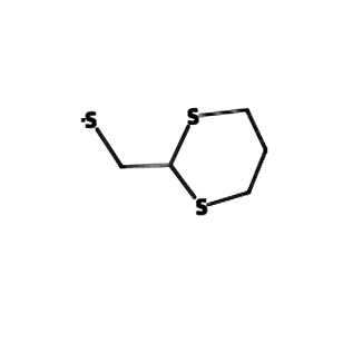 [S]CC1SCCCS1